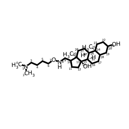 CN(C)CCCCONCC1CC[C@@]2(O)[C@@H]3CCC4CC(O)CC[C@]4(C)[C@@H]3CC[C@]12C